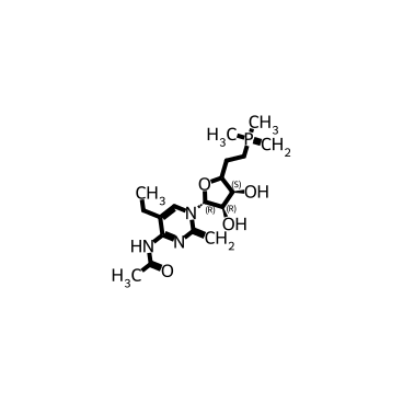 C=C1N=C(NC(C)=O)C(CC)=CN1[C@@H]1OC(CCP(=C)(C)C)[C@@H](O)[C@H]1O